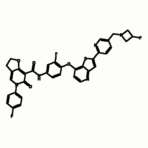 O=C(Nc1ccc(Oc2ccnc3cc(-c4ccc(CN5CC(F)C5)cn4)sc23)c(F)c1)c1c2c(cn(-c3ccc(F)cc3)c1=O)CCO2